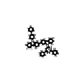 c1ccc(-c2ccc(-n3c4ccccc4c4ccc(-c5ccc6c7ccccc7n(-c7cc(-c8ccccc8)nc(-c8ccccc8)n7)c6c5)cc43)cc2)cc1